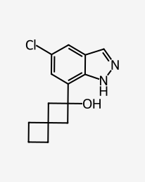 OC1(c2cc(Cl)cc3cn[nH]c23)CC2(CCC2)C1